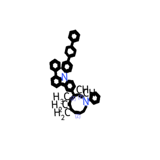 C=C1/C=C\CCN(c2ccccc2)/C(C)=C(C)\C(c2ccc3c(c2)c2cccc(-c4ccccc4)c2n3-c2ccc(C3=CC=C(c4ccccc4)CC3)cc2)=C(\C)C1=C